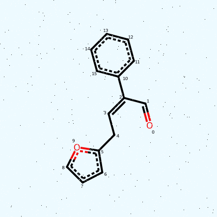 O=CC(=CCc1ccco1)c1ccccc1